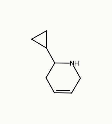 C1=CCC(C2CC2)NC1